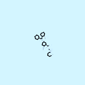 O=C(NNc1ccccn1)c1cc2c(cc1F)OC(c1ccc(F)cc1)(c1ccc(Cl)cc1Cl)O2